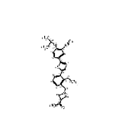 [C-]#[N+]c1cc(-c2ncc(-c3cccc(CN4CC(C(=O)O)C4)c3CC)s2)ccc1OC(C)C